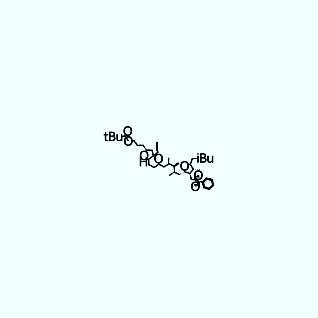 C=C([C@H](C)CC1CC[C@@H]2O[C@@H](CCCOC(=O)C(C)(C)C)C[C@]2(CI)O1)[C@H](C)C[C@@H]1OC(C[C@H](C)CC)[C@H](C)[C@H]1CS(=O)(=O)c1ccccc1